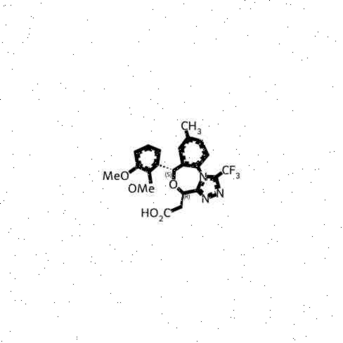 COc1cccc([C@H]2O[C@H](CC(=O)O)c3nnc(C(F)(F)F)n3-c3ccc(C)cc32)c1OC